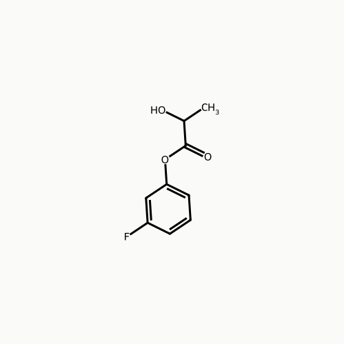 CC(O)C(=O)Oc1cccc(F)c1